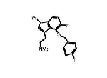 CCCn1cc(CCNC)c2c(OCc3ccc(F)cc3)c(F)ccc21